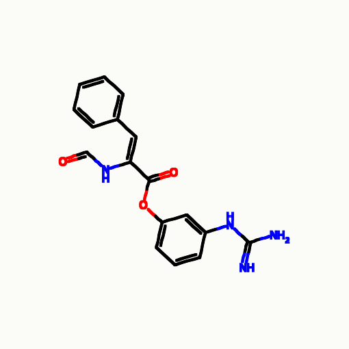 N=C(N)Nc1cccc(OC(=O)C(=Cc2ccccc2)NC=O)c1